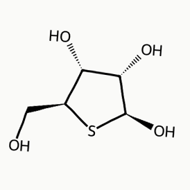 OC[C@@H]1S[C@H](O)[C@@H](O)[C@H]1O